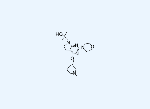 CN1CCCC(COc2nc(N3CCOCC3)nc3c2CCN3CC(C)(C)O)C1